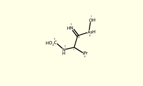 CC(C)C(NC(=O)O)C(=N)[AsH]O